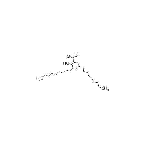 CCCCCCCCCc1cc(CCCCCCCCC)c(O)c(C(=O)O)c1